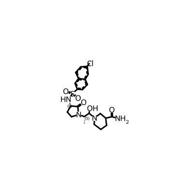 C[C@@H](C(O)N1CCCC(C(N)=O)C1)N1CC[C@H](NS(=O)(=O)c2ccc3cc(Cl)ccc3c2)C1=O